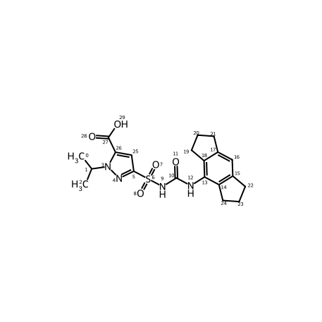 CC(C)n1nc(S(=O)(=O)NC(=O)Nc2c3c(cc4c2CCC4)CCC3)cc1C(=O)O